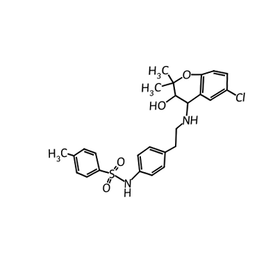 Cc1ccc(S(=O)(=O)Nc2ccc(CCNC3c4cc(Cl)ccc4OC(C)(C)C3O)cc2)cc1